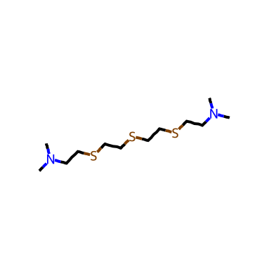 CN(C)CCSCCSCCSCCN(C)C